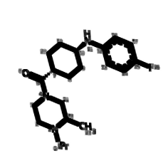 CC(C)N1CCN(C(=O)[C@H]2CC[C@H](Nc3ccc(F)cc3)CC2)CC1C